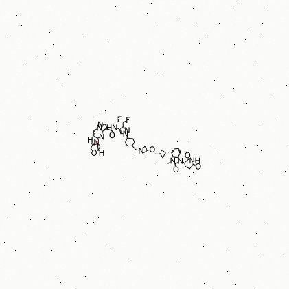 Cn1c(=O)n(C2CCC(=O)NC2=O)c2cccc([C@H]3C[C@@H](COC4CN(CC5CCC(n6cc(NC(=O)c7cnn8ccc(N9C[C@H]%10C[C@@H]9CO%10)nc78)c(C(F)F)n6)CC5)C4)C3)c21